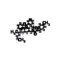 C/C=C\C=C(/C)C(CCCC(CNC(=O)c1cc2ccc(C)cc2[nH]1)CN(CCC)C(=O)c1cccnc1)c1ccccc1